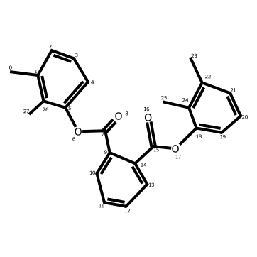 Cc1cccc(OC(=O)c2ccccc2C(=O)Oc2cccc(C)c2C)c1C